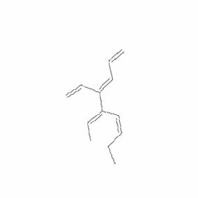 C=C/C=C(C=C)/C(/C=C\CC)=C/C